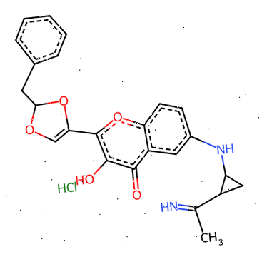 CC(=N)C1CC1Nc1ccc2oc(C3=COC(Cc4ccccc4)O3)c(O)c(=O)c2c1.Cl